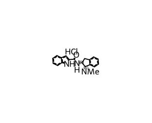 CN[C@H]1c2ccccc2C[C@H]1NC(=O)c1cc2ccccc2[nH]1.Cl